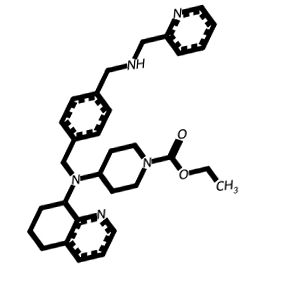 CCOC(=O)N1CCC(N(Cc2ccc(CNCc3ccccn3)cc2)C2CCCc3cccnc32)CC1